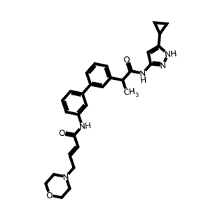 CC(C(=O)Nc1cc(C2CC2)[nH]n1)c1cccc(-c2cccc(NC(=O)/C=C/CN3CCOCC3)c2)c1